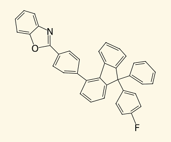 Fc1ccc(C2(c3ccccc3)c3ccccc3-c3c(-c4ccc(-c5nc6ccccc6o5)cc4)cccc32)cc1